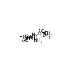 CN(C)C(=O)c1ccc(-c2cnc(N3CCN(C(=O)[C@](C)(O)c4ccccc4)CC3)c(CN)c2)cc1Cl